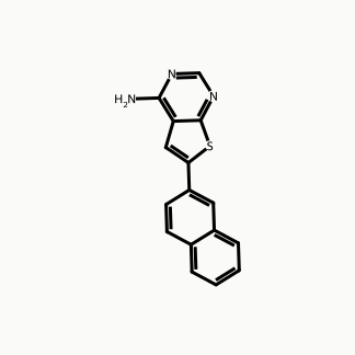 Nc1ncnc2sc(-c3ccc4ccccc4c3)cc12